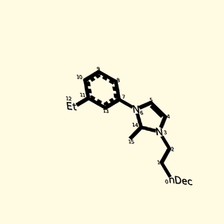 CCCCCCCCCCCCN1C=CN(c2cccc(CC)c2)C1C